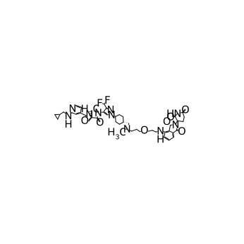 CN(CCCOCCCNc1cccc2c1C(=O)N(C1CCC(=O)NC1=O)C2=O)C[C@H]1CC[C@H](n2cc(N(C)C(=O)c3coc(-c4ccnc(NCC5CC5)c4)n3)c(C(F)F)n2)CC1